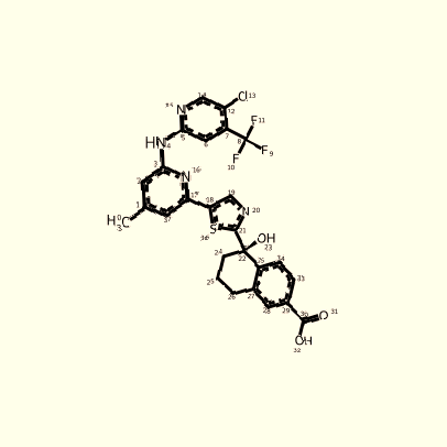 Cc1cc(Nc2cc(C(F)(F)F)c(Cl)cn2)nc(-c2cnc([C@@]3(O)CCCc4cc(C(=O)O)ccc43)s2)c1